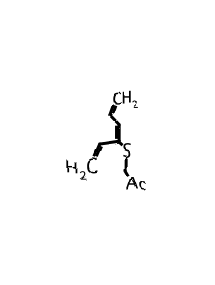 C=C/C=C(\C=C)SCC(C)=O